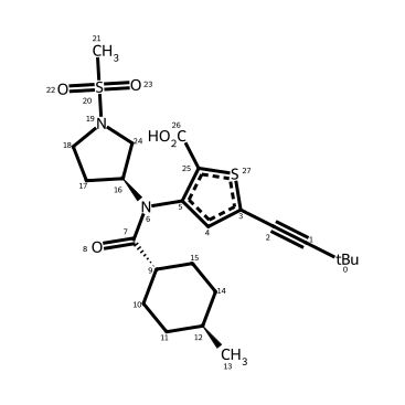 CC(C)(C)C#Cc1cc(N(C(=O)[C@H]2CC[C@H](C)CC2)[C@H]2CCN(S(C)(=O)=O)C2)c(C(=O)O)s1